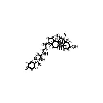 CC[C@H]1[C@@H](O)[C@@H]2[C@H](CC[C@]3(C)[C@@H]([C@H](C)CCNC(=O)NS(=O)(=O)c4ccc(F)cc4)CC[C@@H]23)[C@@]2(C)CC[C@@H](O)C[C@@H]12